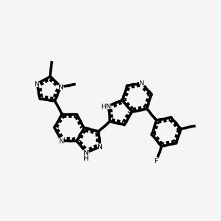 Cc1cc(F)cc(-c2cncc3[nH]c(-c4n[nH]c5ncc(-c6cnc(C)n6C)cc45)cc23)c1